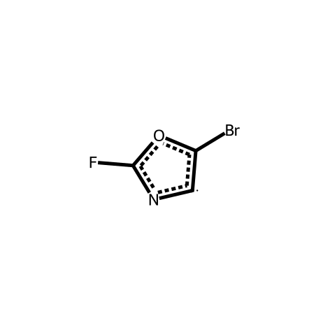 Fc1n[c]c(Br)o1